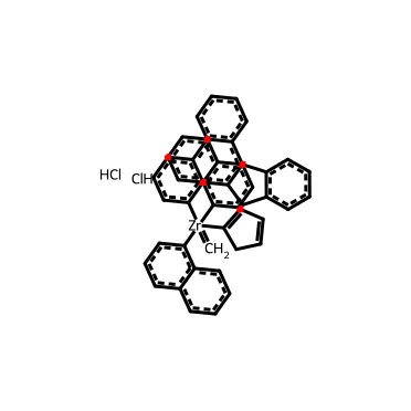 Cl.Cl.[CH2]=[Zr]([C]1=CC=CC1)([c]1cccc2ccccc12)([c]1cccc2ccccc12)[c]1cccc2c1c1c(c3ccccc32)-c2ccccc2C1